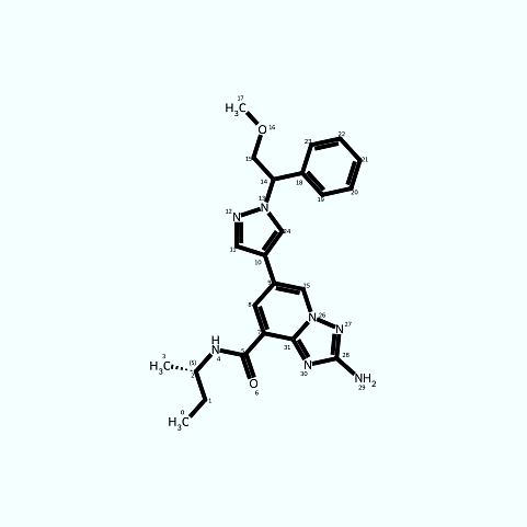 CC[C@H](C)NC(=O)c1cc(-c2cnn(C(COC)c3ccccc3)c2)cn2nc(N)nc12